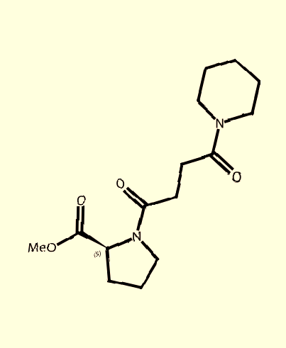 COC(=O)[C@@H]1CCCN1C(=O)CCC(=O)N1CCCCC1